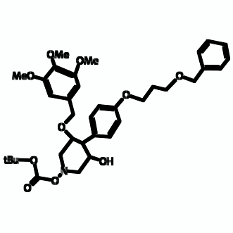 COc1cc(COC2CN(OC(=O)OC(C)(C)C)CC(O)C2c2ccc(OCCCOCc3ccccc3)cc2)cc(OC)c1OC